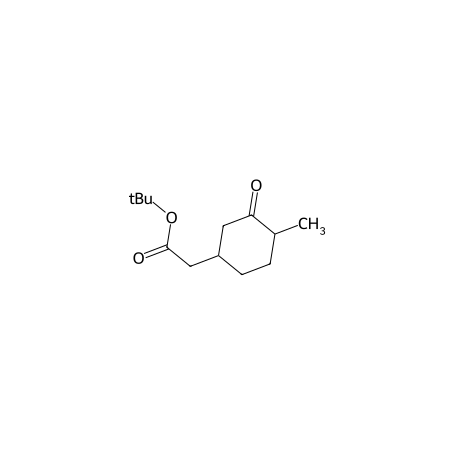 CC1CCC(CC(=O)OC(C)(C)C)CC1=O